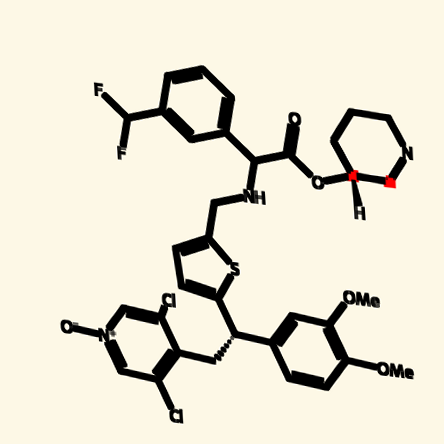 COc1ccc([C@H](Cc2c(Cl)c[n+]([O-])cc2Cl)c2ccc(CNC(C(=O)O[C@H]3CN4CCC3CC4)c3cccc(C(F)F)c3)s2)cc1OC